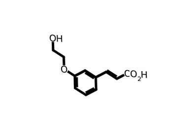 O=C(O)/C=C/c1cccc(OCCO)c1